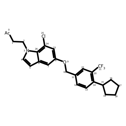 CC(=O)CCn1ccc2cc(OCc3ccc(C4CCCC4)c(C(F)(F)F)c3)cc(Cl)c21